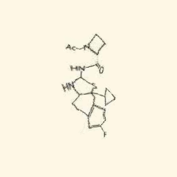 CC(=O)N1CC[C@@H]1C(=O)NC1NC2CCc3cc(F)ccc3C2(C2CCC2)S1